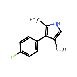 O=C(O)c1c[nH]c(C(=O)O)c1-c1ccc(F)cc1